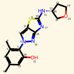 Cc1cc(C)c(-n2cc3sc(N[C@@H]4CCOC4)nc3n2)c(O)c1